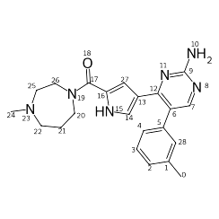 Cc1cccc(-c2cnc(N)nc2-c2c[nH]c(C(=O)N3CCCN(C)CC3)c2)c1